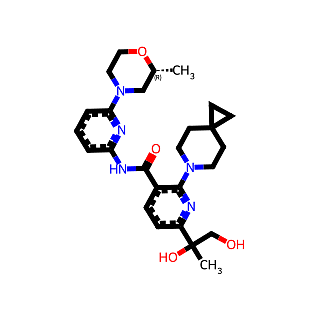 C[C@@H]1CN(c2cccc(NC(=O)c3ccc(C(C)(O)CO)nc3N3CCC4(CC3)CC4)n2)CCO1